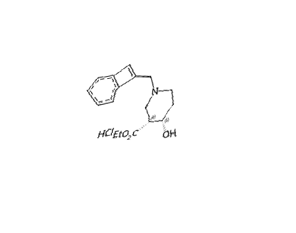 CCOC(=O)[C@@H]1CN(CC2=Cc3ccccc32)CC[C@@H]1O.Cl